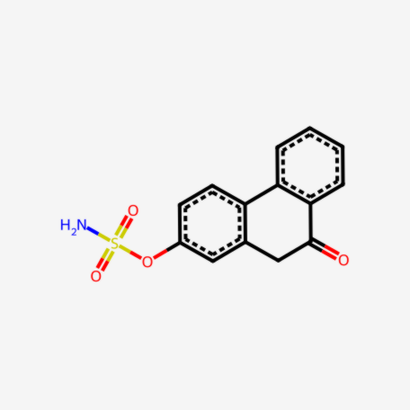 NS(=O)(=O)Oc1ccc2c(c1)CC(=O)c1ccccc1-2